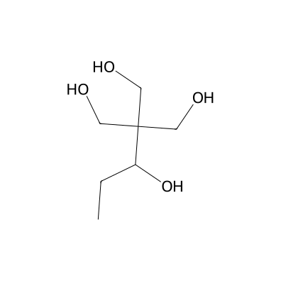 CCC(O)C(CO)(CO)CO